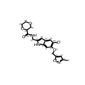 Cc1cc(COc2cc3[nH]c(CNC(=O)C4COCCO4)cc3cc2Cl)on1